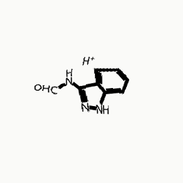 O=CNc1n[nH]c2ccccc12.[H+]